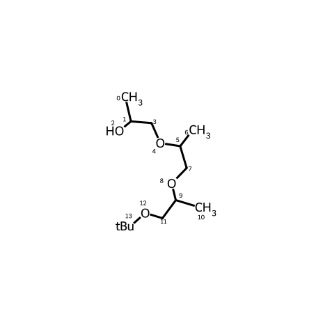 CC(O)COC(C)COC(C)COC(C)(C)C